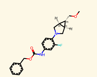 COC[C@@H]1[C@H]2CN(c3ccc(NC(=O)OCc4ccccc4)cc3F)C[C@@H]12